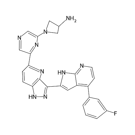 NC1CN(c2cncc(-c3ccc4[nH]nc(-c5cc6c(-c7cccc(F)c7)ccnc6[nH]5)c4n3)n2)C1